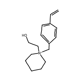 C=Cc1ccc(C[N+]2(CCO)CCCCC2)cc1